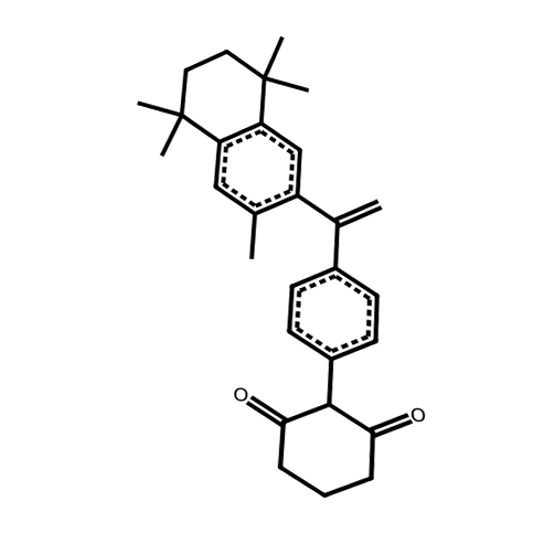 C=C(c1ccc(C2C(=O)CCCC2=O)cc1)c1cc2c(cc1C)C(C)(C)CCC2(C)C